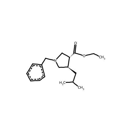 CCOC(=O)[C@H]1CN(Cc2ccccc2)C[C@@H]1CC(C)C